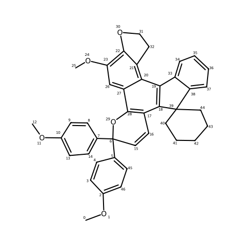 COc1ccc(C2(c3ccc(OC)cc3)C=Cc3c4c(c5c6c(c(OC)cc5c3O2)OCC6)-c2ccccc2C42CCCCC2)cc1